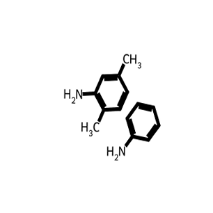 Cc1ccc(C)c(N)c1.Nc1ccccc1